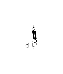 O=S.[Cl-].[Li+]